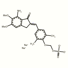 COc1cc2c(c(N)c1OC)C(=O)/C(=C/c1cc(C)c(OCOP(=O)([O-])[O-])c(C)c1)C2.[Na+].[Na+]